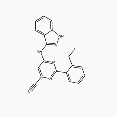 N#Cc1cc(Nc2n[nH]c3ccccc23)nc(-c2ccccc2CF)n1